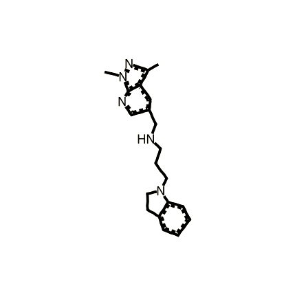 Cc1nn(C)c2ncc(CNCCCN3CCc4ccccc43)cc12